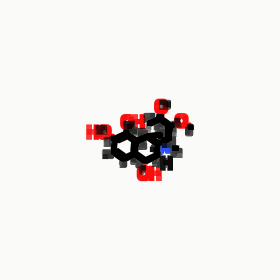 COC1=CC2[C@@H]3[C@H](O)c4ccc(O)c(O)c4[C@@]2(CC1=O)CN3C